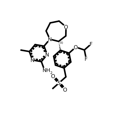 Cc1cc(N2CCCOC[C@@H]2c2ccc(CS(C)(=O)=O)cc2OC(F)F)nc(N)n1